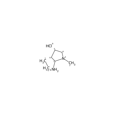 CC.CN1CCCC1N.Cl